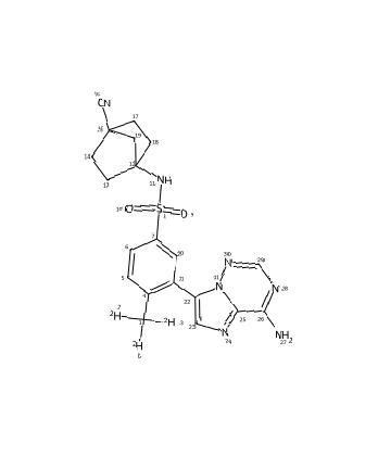 [2H]C([2H])([2H])c1ccc(S(=O)(=O)NC23CCC(C#N)(CC2)C3)cc1-c1cnc2c(N)ncnn12